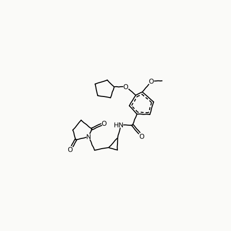 COc1ccc(C(=O)NC2CC2CN2C(=O)CCC2=O)cc1OC1CCCC1